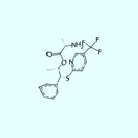 C[C@H](N)C(=O)O[C@@H](C)[C@H](Sc1ccc(C(F)(F)F)cn1)c1ccccc1